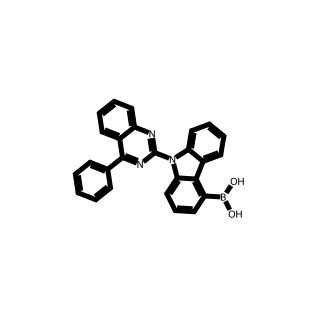 OB(O)c1cccc2c1c1ccccc1n2-c1nc(-c2ccccc2)c2ccccc2n1